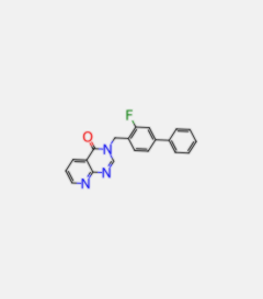 O=c1c2cccnc2ncn1Cc1ccc(-c2ccccc2)cc1F